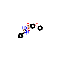 O=S(=O)(Nc1nnc(-c2ccccc2)s1)c1ccc(Oc2ccccc2)cc1